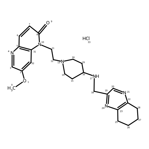 COc1cnc2ccc(=O)n(CCN3CCC(NCc4cnc5c(n4)CCCC5)CC3)c2c1.Cl